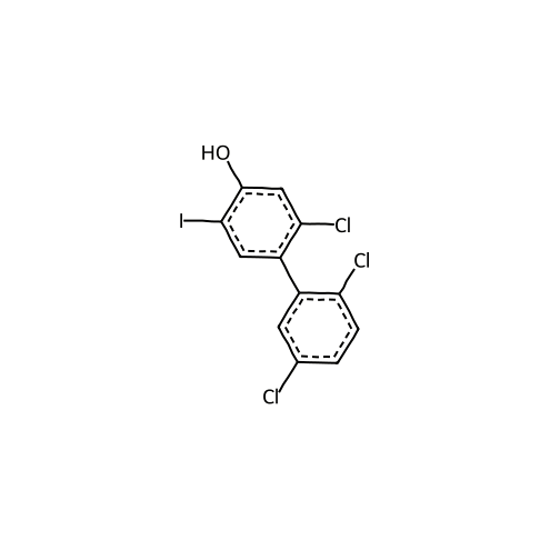 Oc1cc(Cl)c(-c2cc(Cl)ccc2Cl)cc1I